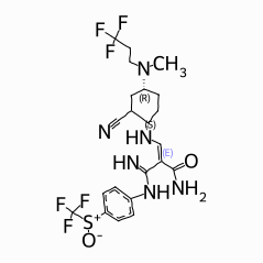 CN(CCC(F)(F)F)[C@@H]1CC[C@H](N/C=C(\C(=N)Nc2ccc([S+]([O-])C(F)(F)F)cc2)C(N)=O)C(C#N)C1